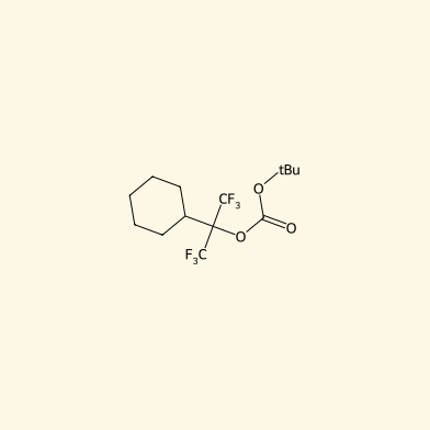 CC(C)(C)OC(=O)OC(C1CCCCC1)(C(F)(F)F)C(F)(F)F